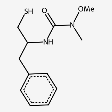 CON(C)C(=O)NC(CS)Cc1ccccc1